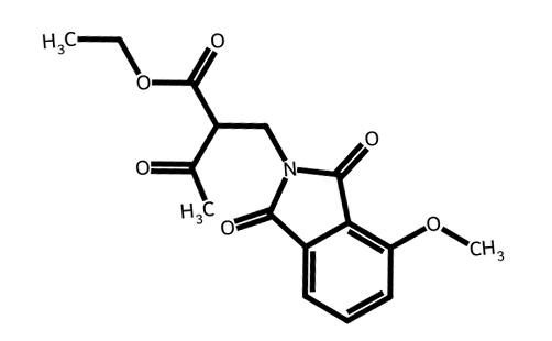 CCOC(=O)C(CN1C(=O)c2cccc(OC)c2C1=O)C(C)=O